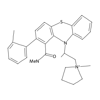 CNC(=O)c1c(-c2ccccc2C)ccc2c1N(C(C)C[N+]1(C)CCCC1)c1ccccc1S2